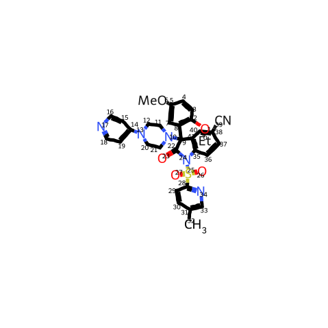 CCOc1ccc(OC)cc1C1(N2CCN(c3ccncc3)CC2)C(=O)N(S(=O)(=O)c2ccc(C)cn2)c2ccc(C#N)cc21